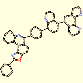 c1ccc(-c2nc3c(ccc4c(-c5ccc(-c6ccc(-c7cc8cccnc8c8ncccc78)c7cccnc67)cc5)nc5ccccc5c43)o2)cc1